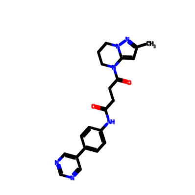 Cc1cc2n(n1)CCCN2C(=O)CCC(=O)Nc1ccc(-c2cncnc2)cc1